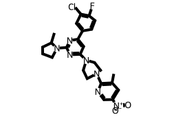 Cc1cc([N+](=O)[O-])cnc1N1CCN(c2cc(-c3ccc(F)c(Cl)c3)nc(N3CCCC3C)n2)CC1